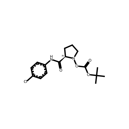 CC(C)(C)OC(=O)ON1CCC[C@@H]1C(=O)Nc1ccc(Cl)cc1